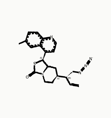 C=C[C@@H](CN=[N+]=[N-])[C@H]1CCN2C(=O)S[C@@H](c3ccnc4ccc(C)cc34)C2C1